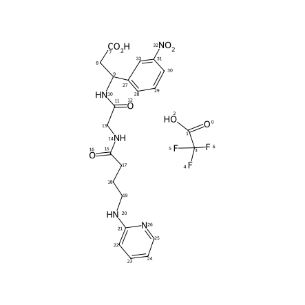 O=C(O)C(F)(F)F.O=C(O)CC(NC(=O)CNC(=O)CCCNc1ccccn1)c1cccc([N+](=O)[O-])c1